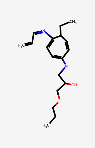 C=C/C=N\C1=CC=C(NCC(O)COCCC)C=CC1CC